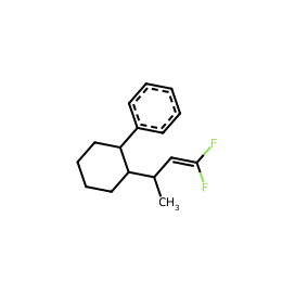 CC(C=C(F)F)C1CCCCC1c1ccccc1